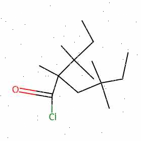 CCC(C)(C)CC(C)(C(=O)Cl)C(C)(C)CC